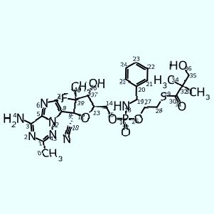 Cc1nc(N)c2ncc([C@]3(C#N)O[C@H](COP(=O)(NCc4ccccc4)OCCSC(=O)C(C)(C)CO)[C@@H](O)[C@@]3(C)F)n2n1